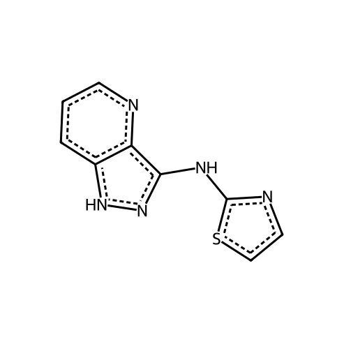 c1cnc2c(Nc3nccs3)n[nH]c2c1